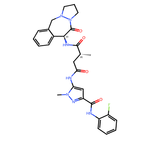 C[C@H](CC(=O)Nc1cc(C(=O)Nc2ccccc2F)nn1C)C(=O)N[C@@H]1C(=O)N2CCCN2Cc2ccccc21